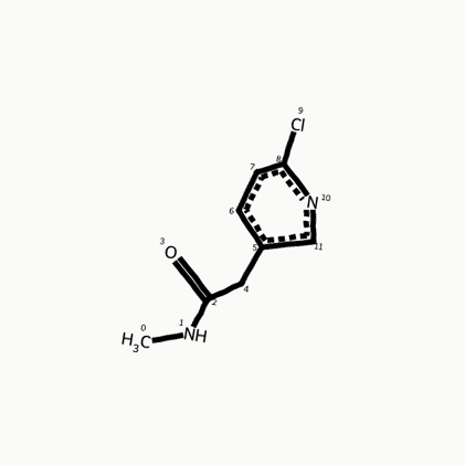 CNC(=O)Cc1ccc(Cl)nc1